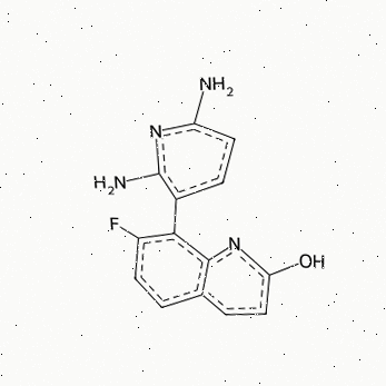 Nc1ccc(-c2c(F)ccc3ccc(O)nc23)c(N)n1